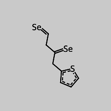 [Se]=CCC(=[Se])Cc1cccs1